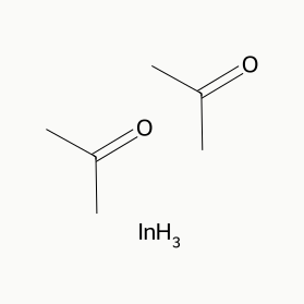 CC(C)=O.CC(C)=O.[InH3]